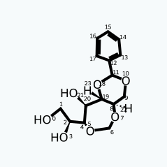 OC[C@H](O)[C@H]1OCO[C@@H]2COC(c3ccccc3)O[C@H]2[C@@H]1O